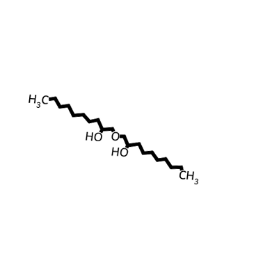 CCCCCCCCC(O)COCC(O)CCCCCCCC